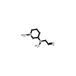 CN1CCCC(N(C)CC=O)C1